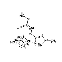 CC(=O)O.CC(=O)O.CC(=O)O.Cn1cc(CNC(=O)CC#N)nn1